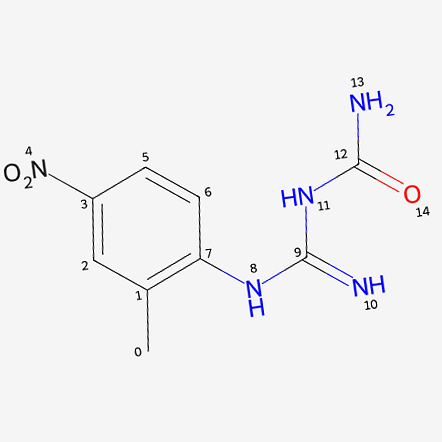 Cc1cc([N+](=O)[O-])ccc1NC(=N)NC(N)=O